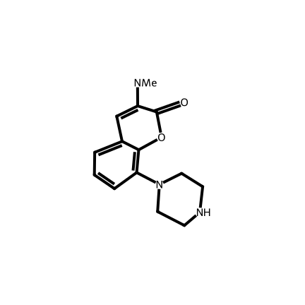 CNc1cc2cccc(N3CCNCC3)c2oc1=O